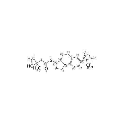 CC(C)(O)CC(=O)SN1CCC2c3ccc(C(F)(C(F)(F)F)C(F)(F)F)cc3CCC21